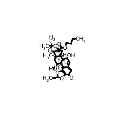 CCCCOC(=O)C(=O)[C@@]12OC(C)(C)O[C@@H]1C[C@H]1[C@@H]3[C@@H](O)CC4=CC(=O)C5=C(OC(CC)O5)[C@]4(C)[C@@]3(F)[C@@H](O)C[C@@]12C